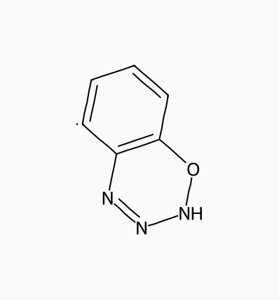 [c]1cccc2c1N=NNO2